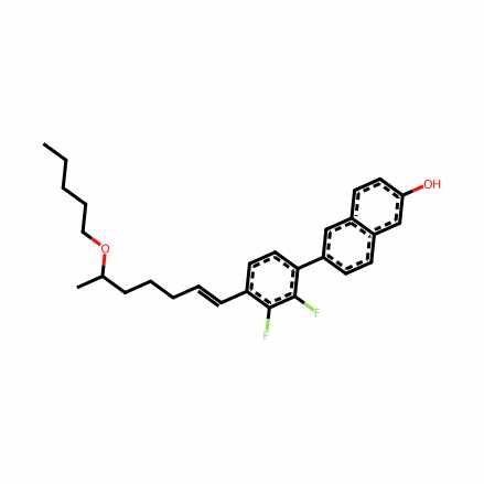 CCCCCOC(C)CCCC=Cc1ccc(-c2ccc3cc(O)ccc3c2)c(F)c1F